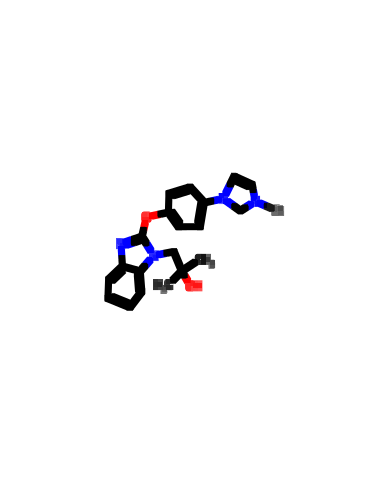 CCN1C=CN(c2ccc(Oc3nc4ccccc4n3CC(C)(C)O)cc2)C1